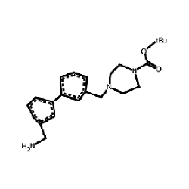 CC(C)(C)OC(=O)N1CCN(Cc2cccc(-c3cccc(CN)c3)c2)CC1